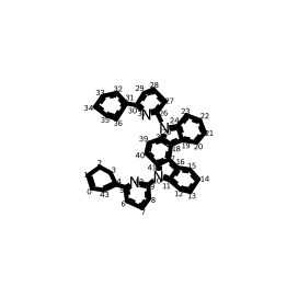 C1=CCCC(c2cccc(-n3c4ccccc4c4c5c6ccccc6n(-c6cccc(-c7ccccc7)n6)c5ccc43)n2)=C1